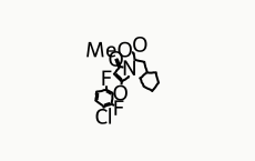 COC(=O)C(CC1CCCCC1)N1CC(Oc2c(F)ccc(Cl)c2F)=CC1=O